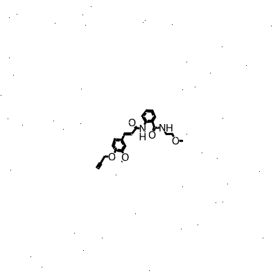 C#CCOc1ccc(C=CC(=O)Nc2ccccc2C(=O)NCCOC)cc1OC